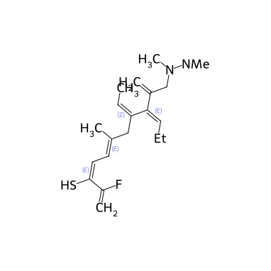 C=C(F)/C(S)=C\C=C(/C)CC(=C/C)/C(=C\CC)C(=C)CN(C)NC